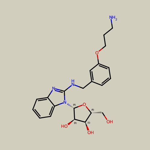 NCCCOc1cccc(CNc2nc3ccccc3n2[C@@H]2O[C@H](CO)[C@@H](O)[C@H]2O)c1